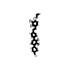 C=CCOc1ccc(/C=C/c2ccc(-c3ccc(C4CCC(C)CC4)c(F)c3F)cc2)c(F)c1F